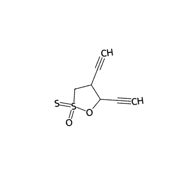 C#CC1CS(=O)(=S)OC1C#C